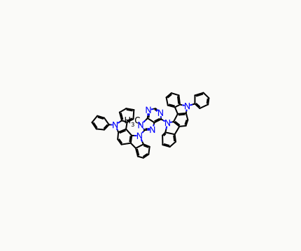 Cn1c(-n2c3ccccc3c3ccc4c(c5ccccc5n4-c4ccccc4)c32)nc2c(-n3c4ccccc4c4ccc5c(c6ccccc6n5-c5ccccc5)c43)ncnc21